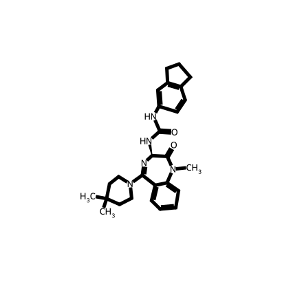 CN1C(=O)[C@H](NC(=O)Nc2ccc3c(c2)CCC3)N=C(N2CCC(C)(C)CC2)c2ccccc21